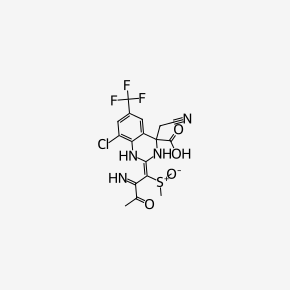 CC(=O)C(=N)/C(=C1\Nc2c(Cl)cc(C(F)(F)F)cc2C(CC#N)(C(=O)O)N1)[S+](C)[O-]